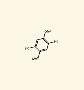 [C-]#[N+]c1cc(OC)c(C#N)cc1OC